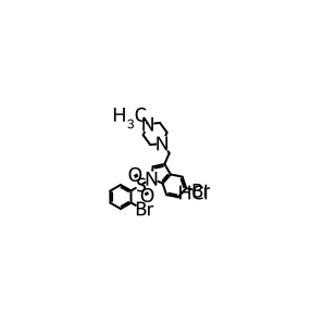 CN1CCN(Cc2cn(S(=O)(=O)c3ccccc3Br)c3ccc(Br)cc23)CC1.Cl